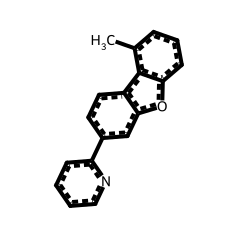 Cc1cccc2oc3cc(-c4ccccn4)ccc3c12